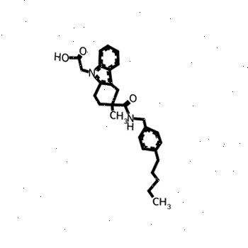 CCCCCc1ccc(CNC(=O)C2(C)CCc3c(c4ccccc4n3CC(=O)O)C2)cc1